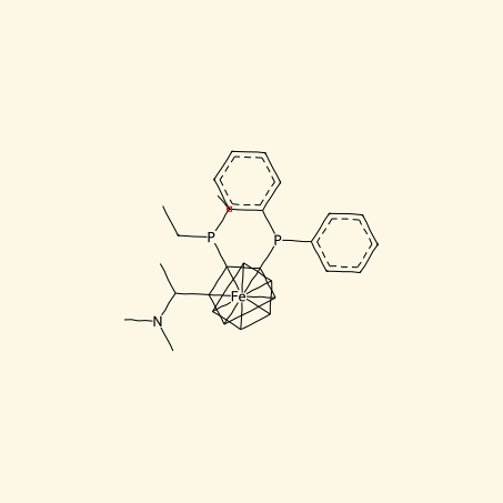 CCP(CC)[C]12[C]3(C(C)N(C)C)[CH]4[CH]5[C]1(P(c1ccccc1)c1ccccc1)[Fe]45321678[CH]2[CH]1[CH]6[CH]7[CH]28